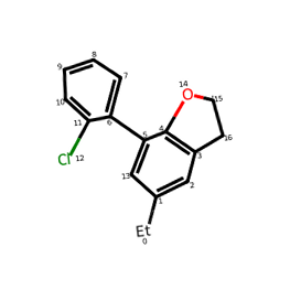 CCc1cc2c(c(-c3ccccc3Cl)c1)O[CH]C2